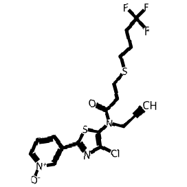 C#CCN(C(=O)CCSCCCC(F)(F)F)c1sc(-c2ccc[n+]([O-])c2)nc1Cl